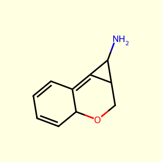 NC1C2=C3C=CC=CC3OCC21